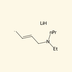 [CH2]C=CCN(CC)CCC.[LiH]